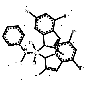 CCC1=Cc2c(C(C)C)cc(C(C)C)cc2[CH]1[Zr]([Cl])([Cl])([CH]1C(CC)=Cc2c(C(C)C)cc(C(C)C)cc21)[SiH](C)c1ccccc1